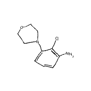 Nc1cccc(N2CCOCC2)c1Cl